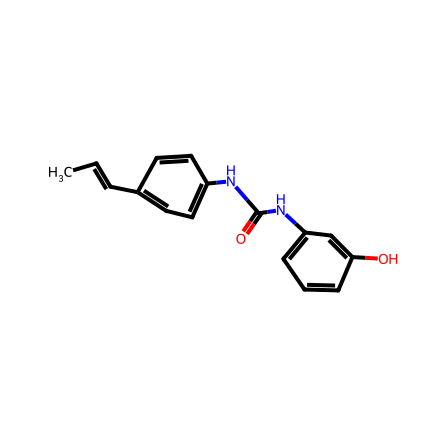 CC=Cc1ccc(NC(=O)Nc2cccc(O)c2)cc1